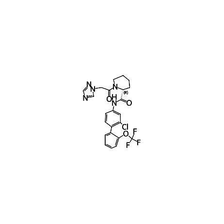 O=C(Nc1ccc(-c2ccccc2OC(F)(F)F)c(Cl)c1)[C@H]1CCCCN1C(=O)Cn1cncn1